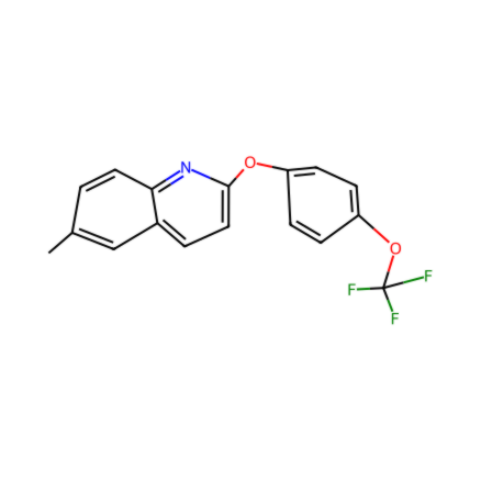 Cc1ccc2nc(Oc3ccc(OC(F)(F)F)cc3)ccc2c1